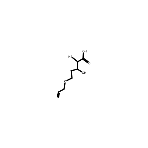 C=CCOCCC(O)C(S)C(=O)O